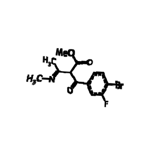 CN=C(C)C(C(=O)OC)C(=O)c1ccc(Br)c(F)c1